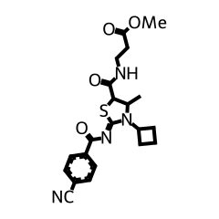 COC(=O)CCNC(=O)C1SC(=NC(=O)c2ccc(C#N)cc2)N(C2CCC2)C1C